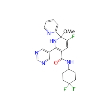 COC1(c2ccccn2)NC(c2cncnc2)=C(C(=O)NC2CCC(F)(F)CC2)C=C1F